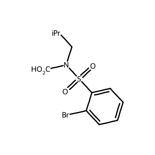 CC(C)CN(C(=O)O)S(=O)(=O)c1ccccc1Br